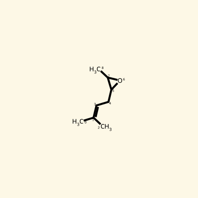 CC(C)=CCC1OC1C